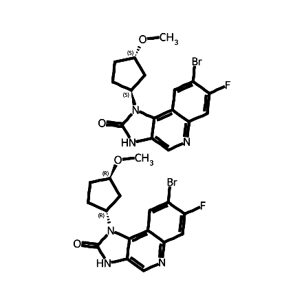 CO[C@@H]1CC[C@@H](n2c(=O)[nH]c3cnc4cc(F)c(Br)cc4c32)C1.CO[C@H]1CC[C@H](n2c(=O)[nH]c3cnc4cc(F)c(Br)cc4c32)C1